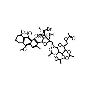 COc1c2c(c(O)c3c4c(c(C)cc13)C1OC3(COC5OC(COC(C)=O)C(OC(C)=O)C(OC(C)=O)C5OC(C)=O)OC1[C@@](OC)(O4)[C@@]3(O)CBr)C(=O)CCC2